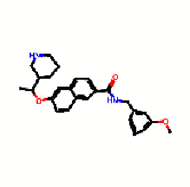 COc1cccc(CNC(=O)c2ccc3cc(OC(C)C4CCCNC4)ccc3c2)c1